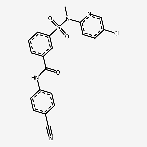 CN(c1ccc(Cl)cn1)S(=O)(=O)c1cccc(C(=O)Nc2ccc(C#N)cc2)c1